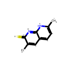 CCc1cc2ccc(C)[nH]c-2nc1=S